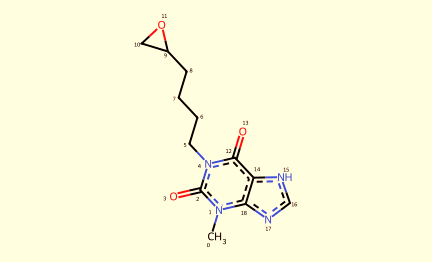 Cn1c(=O)n(CCCCC2CO2)c(=O)c2[nH]cnc21